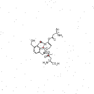 CC(=O)[C@@H](N)CC(=O)OC1=CC[C@@]2(OC(=O)C[C@H](N)C(=O)O)[C@H]3Cc4ccc(CO)c5c4[C@@]2(CCN3C)[C@H]1O5